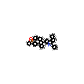 O=P(c1ccccc1)(c1ccccc1)c1cccc(-c2c3ccccc3c(-c3ccc4c(c3)nc(-c3ccccc3)c3ccc5ccccc5c34)c3ccccc23)c1